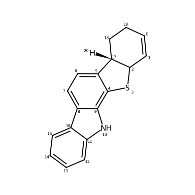 C1=CC2Sc3c(ccc4c3[nH]c3ccccc34)[C@@H]2CC1